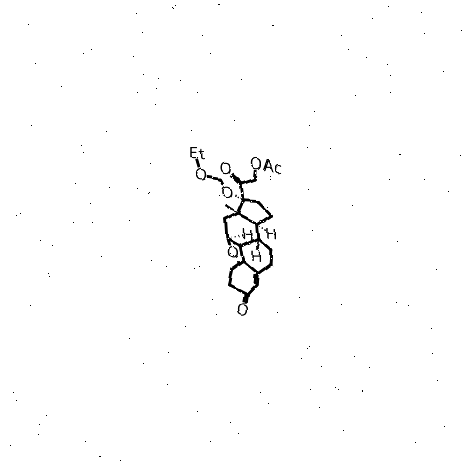 CCOCO[C@]1(C(=O)COC(C)=O)CC[C@H]2[C@@H]3CCC4=CC(=O)CC[C@]4(C)[C@@]34O[C@H]4C[C@@]21C